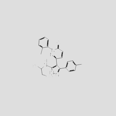 CC(=O)OCC(Nc1[nH]nc(-c2ccc(F)cc2)c1-c1ccc(=O)n(-c2ccccc2C)n1)C(C)C